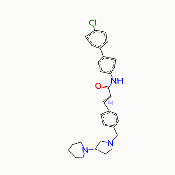 O=C(/C=C/c1ccc(CN2CCC(N3CCCCC3)C2)cc1)Nc1ccc(-c2ccc(Cl)cc2)cc1